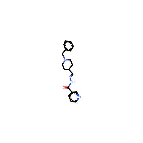 O=C(NN=CC1CCN(Cc2ccccc2)CC1)c1cccnc1